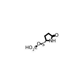 O=C1CC[C@H](SOC(=O)O)N1